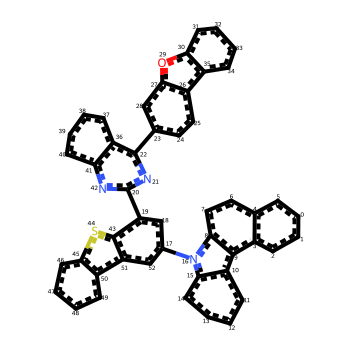 c1ccc2c(c1)ccc1c2c2ccccc2n1-c1cc(-c2nc(-c3ccc4c(c3)oc3ccccc34)c3ccccc3n2)c2sc3ccccc3c2c1